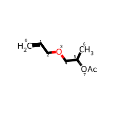 C=CCOCC(C)OC(C)=O